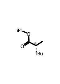 CC(C)OC(=O)[C@H](C)C(C)(C)C